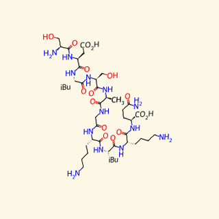 CC[C@H](C)[C@H](NC(=O)[C@H](CC(=O)O)NC(=O)[C@@H](N)CO)C(=O)N[C@@H](CO)C(=O)N[C@@H](C)C(=O)NCC(=O)N[C@@H](CCCCN)C(=O)N[C@H](C(=O)N[C@@H](CCCCN)C(=O)N[C@@H](CCC(N)=O)C(=O)O)[C@@H](C)CC